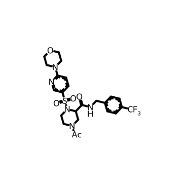 CC(=O)N1CCN(S(=O)(=O)c2ccc(N3CCOCC3)nc2)C(C(=O)NCc2ccc(C(F)(F)F)cc2)C1